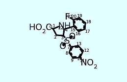 O=C(O)C1CC(S(=O)(=O)c2ccc([N+](=O)[O-])cc2)C(c2ccccc2F)N1